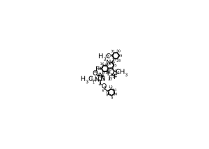 CCn1c(COCc2ccccc2)nn(-c2cc3c(C(C)C(F)(F)F)cc(-c4ccccc4C)nc3cc2F)c1=O